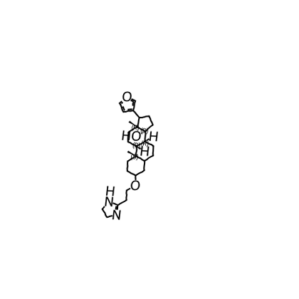 C[C@]12CCC(OCCC3=NCCN3)CC1CC[C@@H]1[C@H]2CC[C@]2(C)C(c3ccoc3)CC[C@@]12O